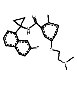 Cc1ccc(OCCN(C)C)cc1C(=O)NC1(c2cccc3ccc(F)cc23)CC1